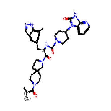 CN[C@@H](C)C(=O)N1CCC2(CC1)CCN(C(=O)[C@@H](Cc1cc(C)c3[nH]ncc3c1)NC(=O)N1CCC(n3c(=O)[nH]c4ncccc43)CC1)C2